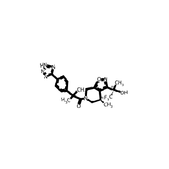 C[C@H]1CN(C(=O)C(C)(C)c2ccc(-c3nn[nH]n3)cc2)Cc2onc([C@@](C)(O)C(F)(F)F)c21